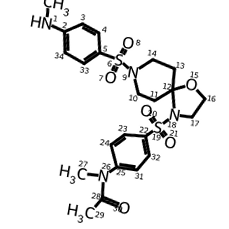 CNc1ccc(S(=O)(=O)N2CCC3(CC2)OCCN3S(=O)(=O)c2ccc(N(C)C(C)=O)cc2)cc1